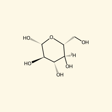 [2H][C@]1(O)[C@H](O)[C@@H](O)[C@H](O)O[C@@H]1CO